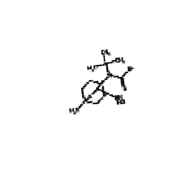 CC(C)(C)N(C(=O)O)C12CCC(N)(CC1)CC2O.Cl